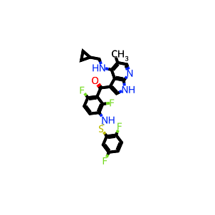 Cc1cnc2[nH]cc(C(=O)c3c(F)ccc(NSc4cc(F)ccc4F)c3F)c2c1NCC1CC1